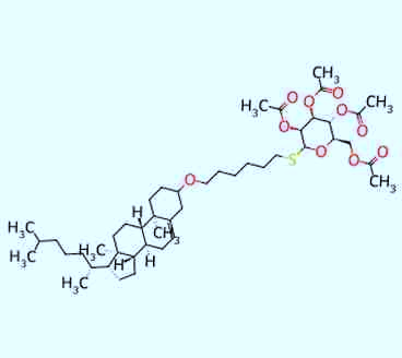 CC(=O)OC[C@H]1O[C@@H](SCCCCCCOC2CC[C@@]3(C)C(=CC[C@H]4[C@@H]5CC[C@H]([C@H](C)CCCC(C)C)[C@@]5(C)CC[C@@H]43)C2)[C@@H](OC(C)=O)[C@@H](OC(C)=O)[C@@H]1OC(C)=O